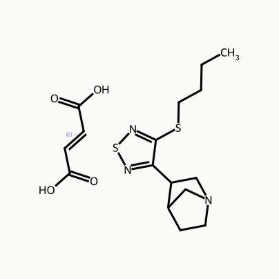 CCCCSc1nsnc1C1CN2CCC1C2.O=C(O)/C=C/C(=O)O